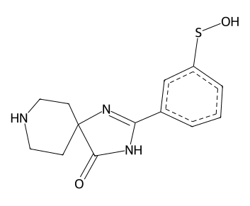 O=C1NC(c2cccc(SO)c2)=NC12CCNCC2